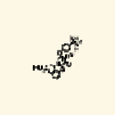 CCCN1C(=O)C(=O)N(C(CC(=O)O)c2ccccc2C)CC1Oc1ccc(C(=N)N)cc1